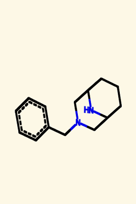 c1ccc(CN2CC3CCCC(C2)N3)cc1